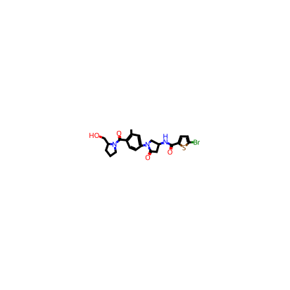 Cc1cc(N2CC(NC(=O)c3ccc(Br)s3)CC2=O)ccc1C(=O)N1CCCC1CO